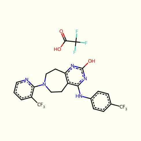 O=C(O)C(F)(F)F.Oc1nc2c(c(Nc3ccc(C(F)(F)F)cc3)n1)CCN(c1ncccc1C(F)(F)F)CC2